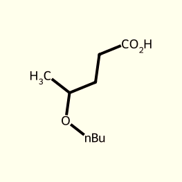 CCCCOC(C)CCC(=O)O